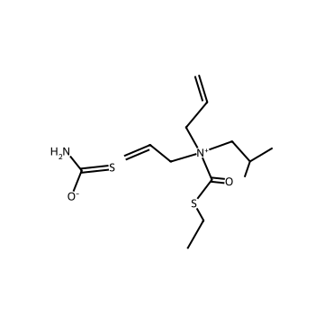 C=CC[N+](CC=C)(CC(C)C)C(=O)SCC.NC([O-])=S